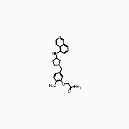 Cc1ccc(CN2CCC(Nc3cccc4cnccc34)C2)cc1OCC(N)=O